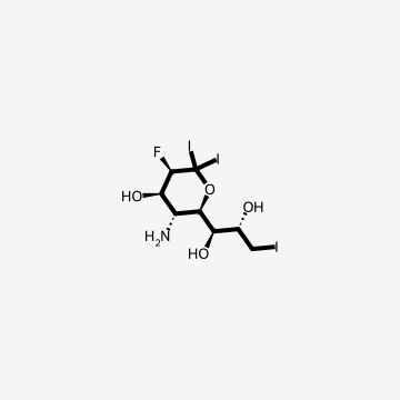 N[C@@H]1[C@@H](O)[C@@H](F)C(I)(I)O[C@H]1[C@H](O)[C@H](O)CI